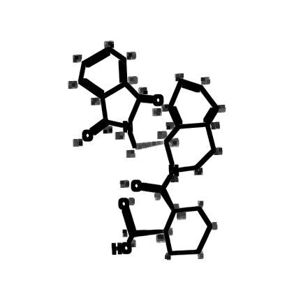 O=C(O)[C@@H]1CCCC[C@@H]1C(=O)N1CCc2ccccc2[C@H]1CN1C(=O)c2ccccc2C1=O